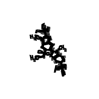 CCS(=O)(=O)c1cc2c(cc1-c1nc3cc(C(F)(F)F)ncc3n1C)nc(C(F)(F)F)n2C